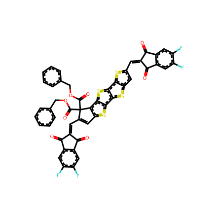 O=C1C(=CC2=Cc3sc4c(sc5c6sc(C=C7C(=O)c8cc(F)c(F)cc8C7=O)cc6sc45)c3C2(C(=O)OCc2ccccc2)C(=O)OCc2ccccc2)C(=O)c2cc(F)c(F)cc21